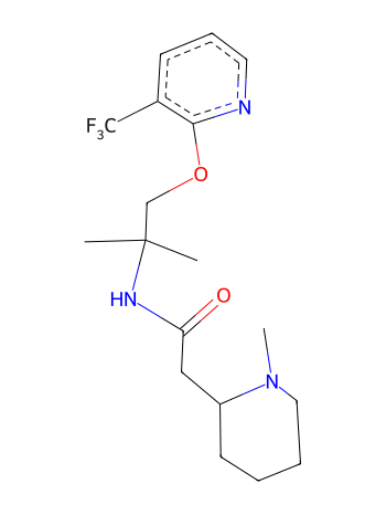 CN1CCCCC1CC(=O)NC(C)(C)COc1ncccc1C(F)(F)F